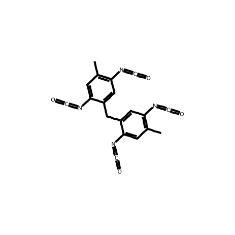 Cc1cc(N=C=O)c(Cc2cc(N=C=O)c(C)cc2N=C=O)cc1N=C=O